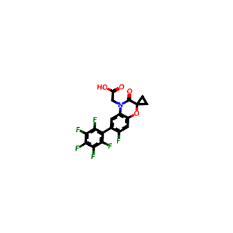 O=C(O)CN1C(=O)C2(CC2)Oc2cc(F)c(-c3c(F)c(F)c(F)c(F)c3F)cc21